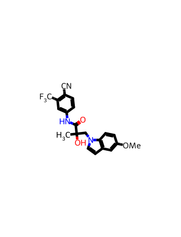 COc1ccc2c(ccn2CC(C)(O)C(=O)Nc2ccc(C#N)c(C(F)(F)F)c2)c1